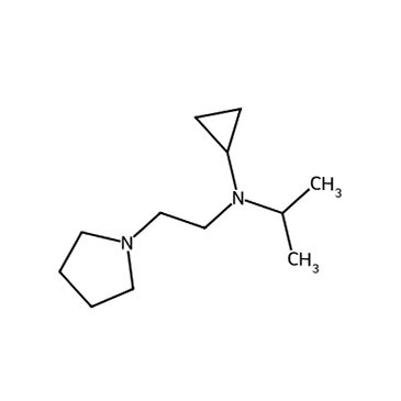 CC(C)N(CCN1CCCC1)C1CC1